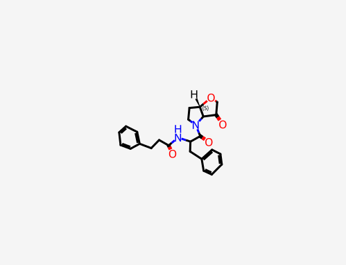 O=C(CCc1ccccc1)NC(Cc1ccccc1)C(=O)N1CC[C@@H]2OCC(=O)C21